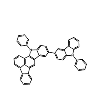 c1ccc(-n2c3ccccc3c3cc(-c4ccc5c(c4)c4cc6c7c(cccc7c4n5-c4ccccc4)-c4ccccc4-6)ccc32)cc1